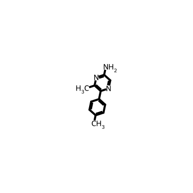 Cc1ccc(-c2ncc(N)nc2C)cc1